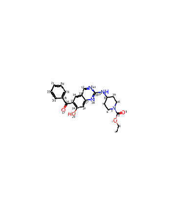 CCOC(=O)N1CCC(Nc2ncc3cc(C(=O)c4ccccc4)c(O)cc3n2)CC1